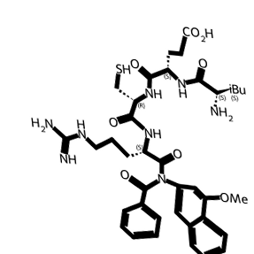 CC[C@H](C)[C@H](N)C(=O)N[C@@H](CCC(=O)O)C(=O)N[C@@H](CS)C(=O)N[C@@H](CCCNC(=N)N)C(=O)N(C(=O)c1ccccc1)c1cc(OC)c2ccccc2c1